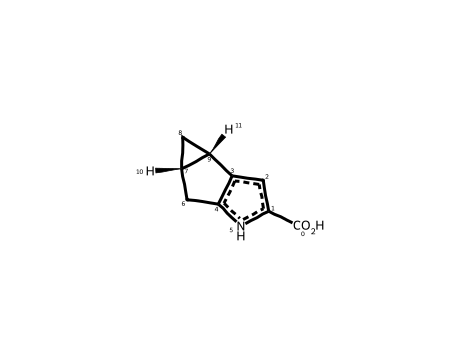 O=C(O)c1cc2c([nH]1)C[C@@H]1C[C@H]21